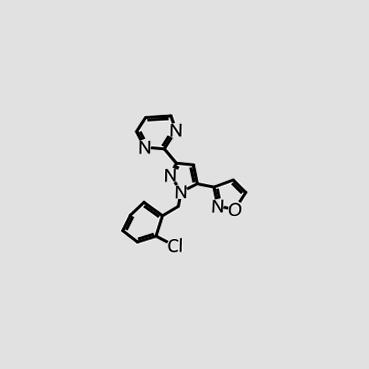 Clc1ccccc1Cn1nc(-c2ncccn2)cc1-c1ccon1